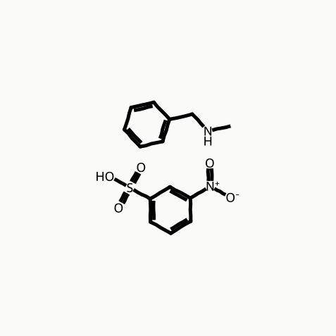 CNCc1ccccc1.O=[N+]([O-])c1cccc(S(=O)(=O)O)c1